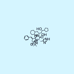 CC(C)(C)S(=O)(=O)CC(=Cc1ccccc1)C(=O)N[C@@H](Cc1c[nH]cn1)C(=O)N[C@@H](CC1CCCCC1)[C@@H](O)[C@@H](O)C1CCCC1